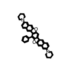 c1ccc(-c2c3oc4cc5cc(N6CCCCC6)ccc5cc4c3cc3oc4cc5cc(N6CCCCC6)ccc5cc4c23)cc1